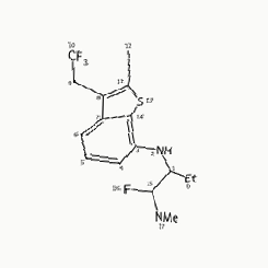 CCC(Nc1cccc2c(CC(F)(F)F)c(I)sc12)C(F)NC